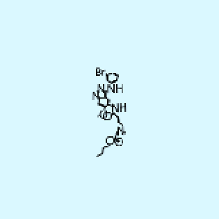 CCCCOC(=O)CN(C)CC=CC(=O)Nc1cc2c(Nc3cccc(Br)c3)ncnc2cc1OC